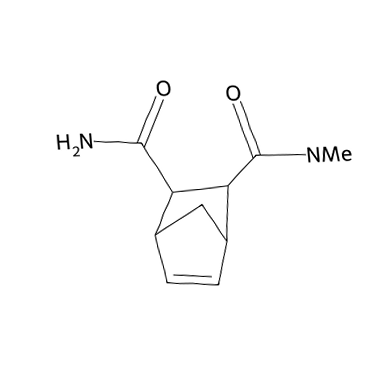 CNC(=O)C1C2C=CC(C2)C1C(N)=O